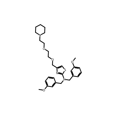 COc1cccc(CN(Cc2cccc(OC)c2)c2nc(COCCOCCN3CCCCC3)cs2)c1